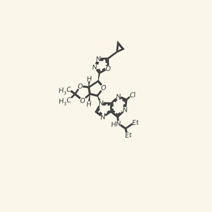 CCC(CC)Nc1nc(Cl)nc2c1ncn2[C@@H]1O[C@H](c2nnc(C3CC3)o2)[C@H]2OC(C)(C)O[C@H]21